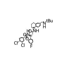 CC(C)(C)NCc1ccc2c(c1)CCC[C@H]2NC(=O)C[C@@H](NS(=O)(=O)c1ccc(Cl)c(Cl)c1)c1ccc(F)cc1